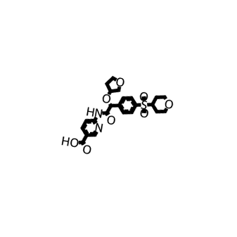 O=C(O)c1ccc(NC(=O)C(OC2CCOC2)c2ccc(S(=O)(=O)C3CCOCC3)cc2)nc1